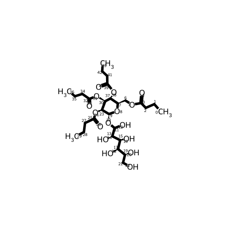 CCCC(=O)OC[C@H]1O[C@H](OC(O)[C@@H](O)[C@@H](O)[C@H](O)[C@H](O)CO)[C@@H](OC(=O)CCC)[C@@H](OC(=O)CCC)[C@@H]1OC(=O)CCC